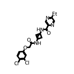 CCc1cnc(C(=O)NC23CC(NC(=O)COc4ccc(Cl)c(Cl)c4)(C2)C3)cn1